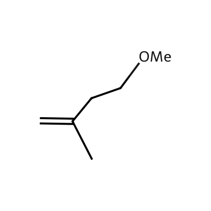 C=C(C)CCOC